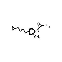 Cc1cc(CCOCC2CC2)ccc1OC1OC1C